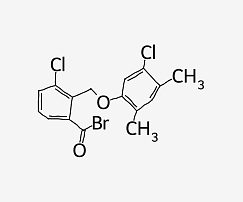 Cc1cc(C)c(OCc2c(Cl)cccc2C(=O)Br)cc1Cl